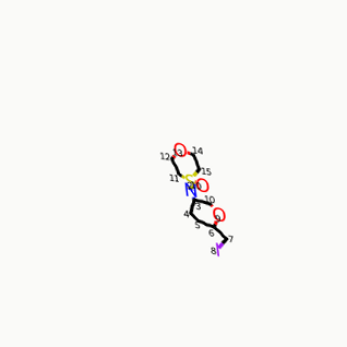 O=S1(=NC2CCC(CI)OC2)CCOCC1